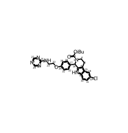 CC(C)COC(=O)N1CCc2c([nH]c3ccc(Cl)cc23)C1c1ccc(OCCNc2ncncn2)cc1